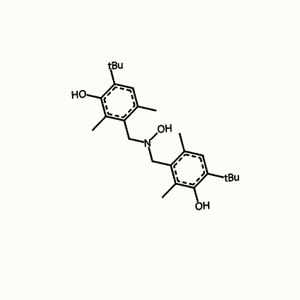 Cc1cc(C(C)(C)C)c(O)c(C)c1CN(O)Cc1c(C)cc(C(C)(C)C)c(O)c1C